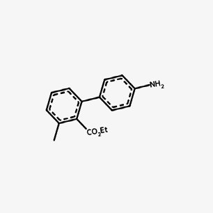 CCOC(=O)c1c(C)cccc1-c1ccc(N)cc1